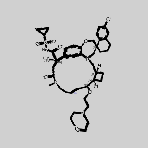 CN1CC/C=C/[C@H](OCCN2CCOCC2)[C@@H]2CC[C@H]2CN2C[C@@]3(CCCc4cc(Cl)ccc43)COc3ccc(cc32)[C@@](O)(C(=O)NS(=O)(=O)C2CC2)CC1=O